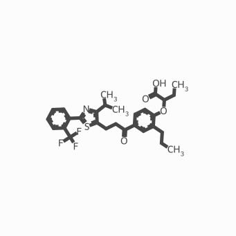 CCCc1cc(C(=O)CCc2sc(-c3ccccc3C(F)(F)F)nc2C(C)C)ccc1OC(CC)C(=O)O